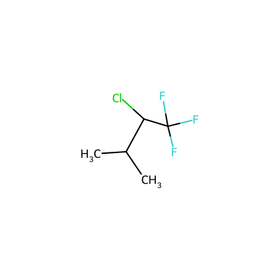 CC(C)C(Cl)C(F)(F)F